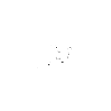 CCCNC(=O)CC[C@H](OC(=O)C(C)(C)CC(C)C)[C@H](OC(=O)C(C)(C)CC(C)(C)C)C(=O)O